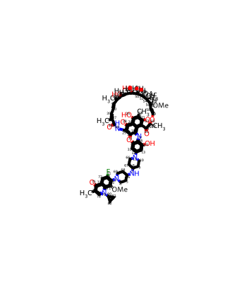 COc1c(N2CCC(NC3CCN(c4cc(O)c5nc6c7c8c9c(C)c(O)c7c(=O)c(c-6oc5c4)NC(=O)/C(C)=C\C=C\[C@H](C)[C@H](O)[C@@H](C)[C@@H](O)[C@@H](C)[C@H](OC(C)=O)[C@H](C)[C@@H](OC)/C=C/O[C@@](C)(O9)C8=O)CC3)CC2)c(F)cc2c(=O)c(C)cn(C3CC3)c12